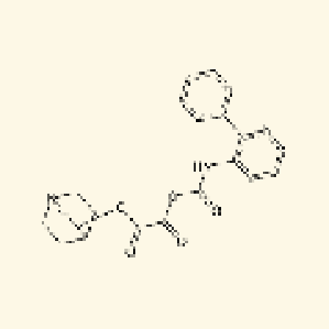 O=C(Nc1cccnc1-c1ccccc1)OC(=O)C(=O)OC1CN2CCC1CC2